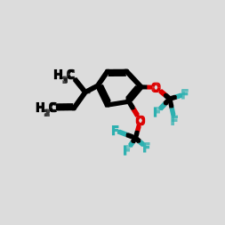 C=C[C](C)c1ccc(OC(F)(F)F)c(OC(F)(F)F)c1